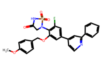 COc1ccc(COc2cc(-c3ccnc(-c4ccccc4)c3)cc(F)c2N2CC(=O)NS2(=O)=O)cc1